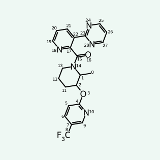 CC1C(Oc2ccc(C(F)(F)F)cn2)CCCN1C(=O)c1ncccc1-c1ncccn1